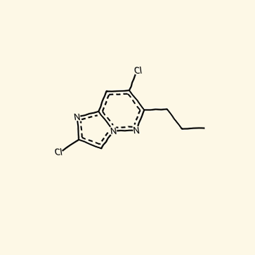 CCCc1nn2cc(Cl)nc2cc1Cl